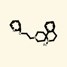 CC(=O)N1CCc2ccccc2C12CCN(CCOc1ccccn1)CC2